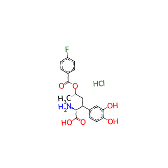 C[C@@H](CC(c1ccc(O)c(O)c1)[C@H](N)C(=O)O)OC(=O)c1ccc(F)cc1.Cl